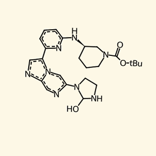 CC(C)(C)OC(=O)N1CCC[C@@H](Nc2cccc(-c3cnc4cnc(N5CCNC5O)cn34)n2)C1